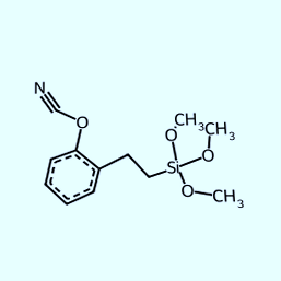 CO[Si](CCc1ccccc1OC#N)(OC)OC